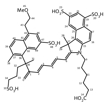 C=C(/C=C/C=C/C=C1/N(CCCCCC(=O)O)c2ccc3c(S(=O)(=O)O)cc(S(=O)(=O)O)cc3c2C1(C)C)C(C)(CCCS(=O)(=O)O)c1c(C)ccc2c(CCOC)cc(S(=O)(=O)O)cc12